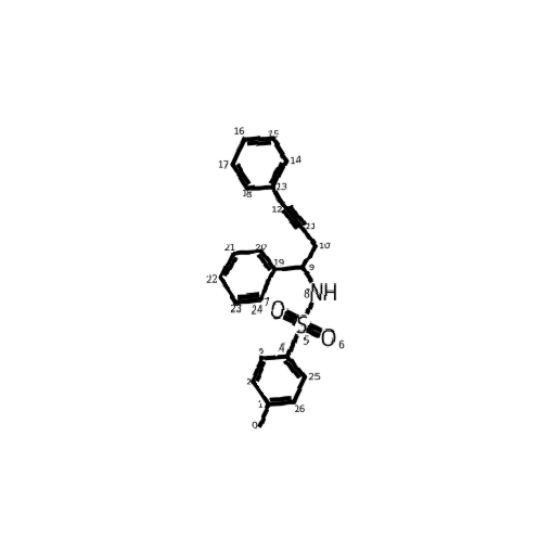 Cc1ccc(S(=O)(=O)NC(CC#Cc2ccccc2)c2ccccc2)cc1